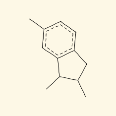 Cc1ccc2c(c1)C(C)C(C)C2